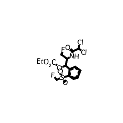 CCOC(=O)OC(c1ccccc1S(=O)(=O)CF)C(CF)NC(=O)C(Cl)Cl